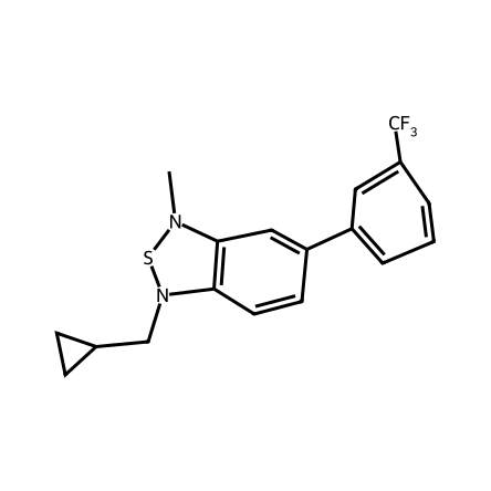 CN1SN(CC2CC2)c2ccc(-c3cccc(C(F)(F)F)c3)cc21